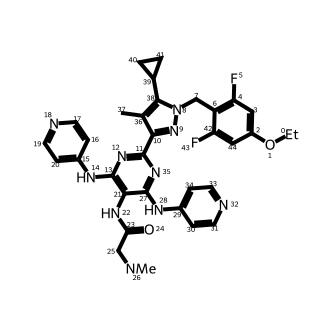 CCOc1cc(F)c(Cn2nc(-c3nc(Nc4ccncc4)c(NC(=O)CNC)c(Nc4ccncc4)n3)c(C)c2C2CC2)c(F)c1